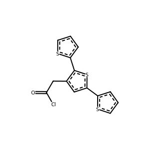 O=C(Cl)Cc1cc(-c2cccs2)sc1-c1cccs1